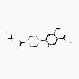 COC(=O)c1cc(F)c(N2CCN(C(=O)OC(C)(C)C)CC2)cc1C=O